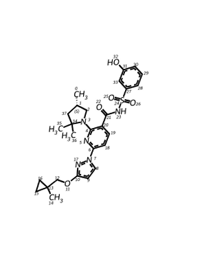 C[C@@H]1CN(c2nc(-n3ccc(OCC4(C)CC4)n3)ccc2C(=O)NS(=O)(=O)c2cccc(O)c2)C(C)(C)C1